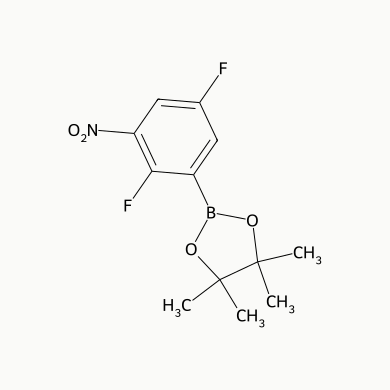 CC1(C)OB(c2cc(F)cc([N+](=O)[O-])c2F)OC1(C)C